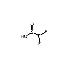 O=S(O)P(F)F